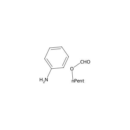 CCCCCOC=O.Nc1ccccc1